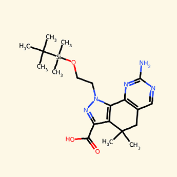 CC1(C)Cc2cnc(N)nc2-c2c1c(C(=O)O)nn2CCO[Si](C)(C)C(C)(C)C